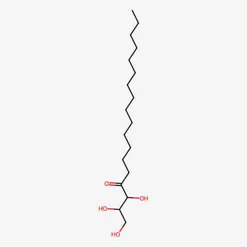 CCCCCCCCCCCCCCC(=O)C(O)C(O)CO